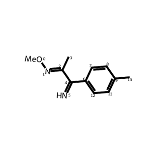 CO/N=C(\C)C(=N)c1ccc(C)cc1